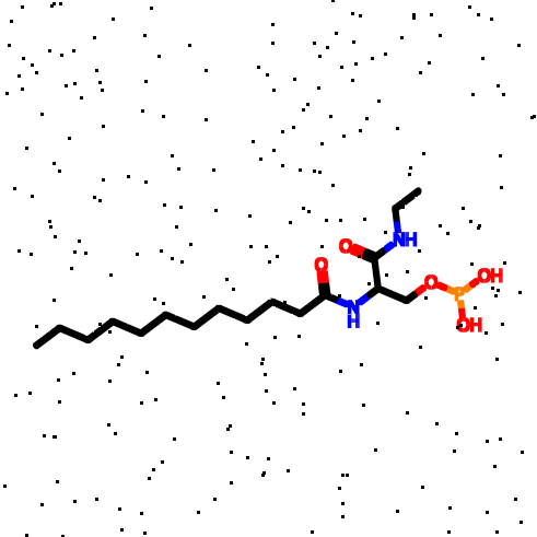 CCCCCCCCCCCC(=O)NC(COP(O)O)C(=O)NCC